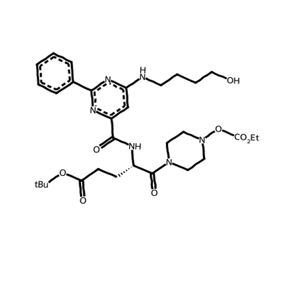 CCOC(=O)ON1CCN(C(=O)[C@H](CCC(=O)OC(C)(C)C)NC(=O)c2cc(NCCCCO)nc(-c3ccccc3)n2)CC1